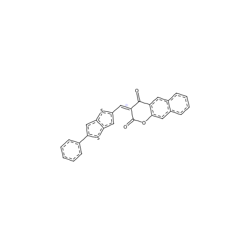 O=C1Oc2cc3ccccc3cc2C(=O)/C1=C/c1cc2sc(-c3ccccc3)cc2s1